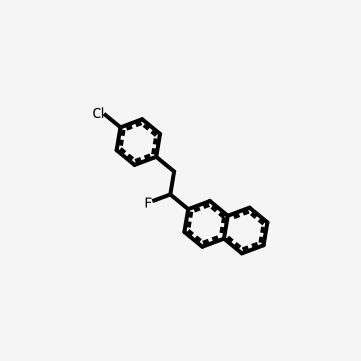 FC(Cc1ccc(Cl)cc1)c1ccc2ccccc2c1